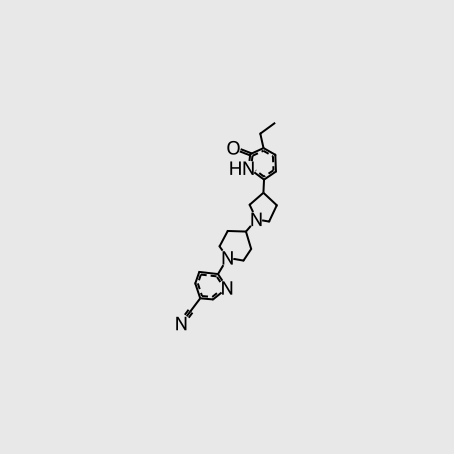 CCc1ccc(C2CCN(C3CCN(c4ccc(C#N)cn4)CC3)C2)[nH]c1=O